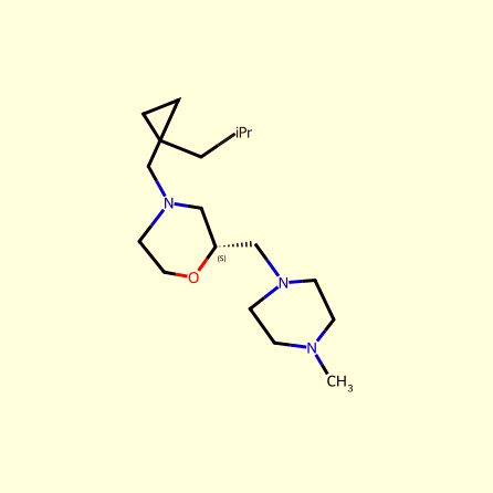 CC(C)CC1(CN2CCO[C@@H](CN3CCN(C)CC3)C2)CC1